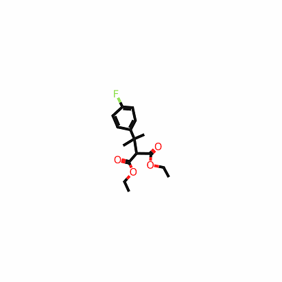 CCOC(=O)C(C(=O)OCC)C(C)(C)c1ccc(F)cc1